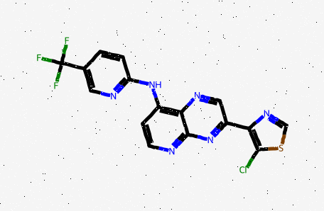 FC(F)(F)c1ccc(Nc2ccnc3nc(-c4ncsc4Cl)cnc23)nc1